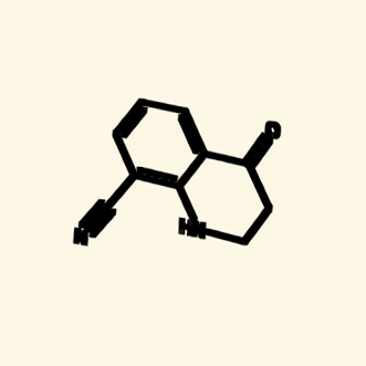 N#Cc1cccc2c1NCCC2=O